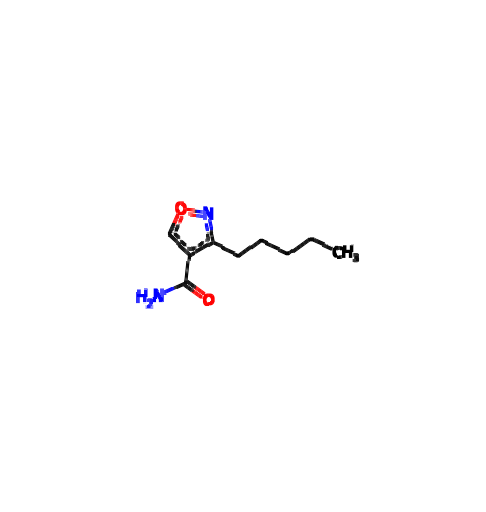 CCCCCc1nocc1C(N)=O